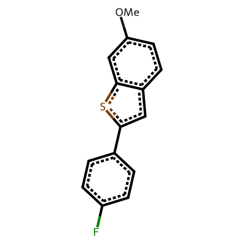 COc1ccc2cc(-c3ccc(F)cc3)sc2c1